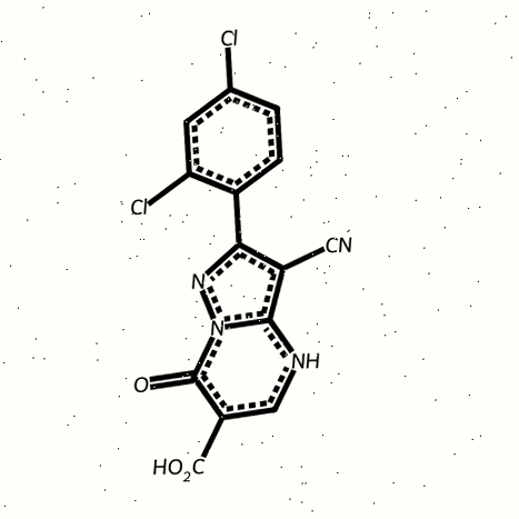 N#Cc1c(-c2ccc(Cl)cc2Cl)nn2c(=O)c(C(=O)O)c[nH]c12